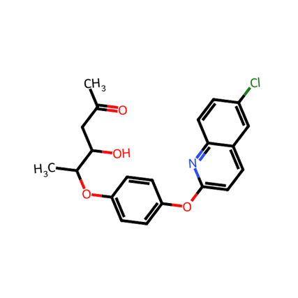 CC(=O)CC(O)C(C)Oc1ccc(Oc2ccc3cc(Cl)ccc3n2)cc1